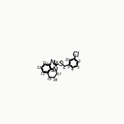 Clc1cccc(CSc2nc3cccc4c3n2CCC4)c1